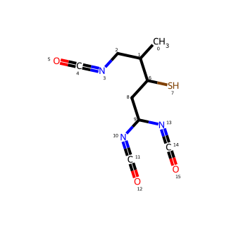 CC(CN=C=O)C(S)CC(N=C=O)N=C=O